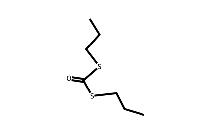 CCCSC(=O)SCCC